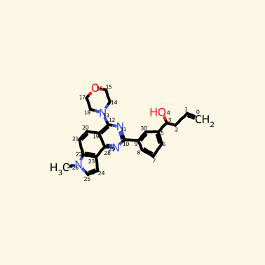 C=CCC(O)c1cccc(-c2nc(N3CCOCC3)c3ccc4c(ccn4C)c3n2)c1